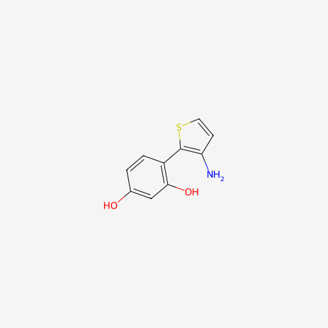 Nc1ccsc1-c1ccc(O)cc1O